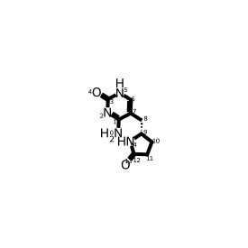 Nc1nc(=O)[nH]cc1C[C@@H]1CCC(=O)N1